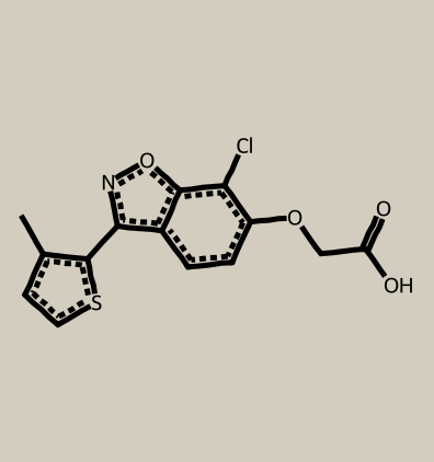 Cc1ccsc1-c1noc2c(Cl)c(OCC(=O)O)ccc12